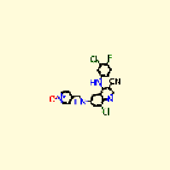 N#Cc1cnc2c(Cl)cc(NCc3cc[n+]([O-])cc3)cc2c1Nc1ccc(F)c(Cl)c1